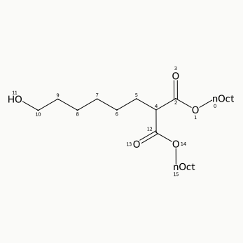 CCCCCCCCOC(=O)C(CCCCCCO)C(=O)OCCCCCCCC